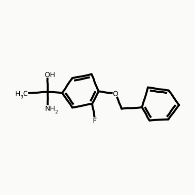 CC(N)(O)c1ccc(OCc2ccccc2)c(F)c1